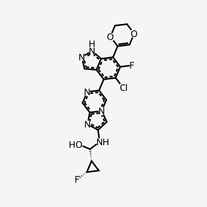 OC(Nc1cn2cc(-c3c(Cl)c(F)c(C4=COCCO4)c4[nH]ncc34)ncc2n1)[C@@H]1C[C@@H]1F